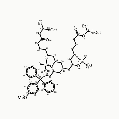 CCCCCCCCC(CC)OC(=O)CCCCCC(CN(CCCOC(c1ccccc1)(c1ccccc1)c1ccc(OC)cc1)CC(CCCCCC(=O)OC(CC)CCCCCCCC)O[Si](C)(C)C(C)(C)C)O[Si](C)(C)C(C)(C)C